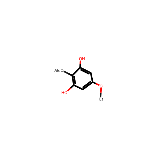 CCOc1cc(O)c(OC)c(O)c1